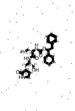 CC(C)C[C@H](NC(=O)OC(Cc1ccccc1)C1CCCCC1)C(=O)N[C@H](CO)C[C@@H]1CCNC1=O